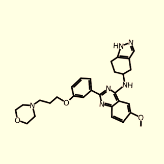 COc1ccc2nc(-c3cccc(OCCCN4CCOCC4)c3)nc(NC3CCc4[nH]ncc4C3)c2c1